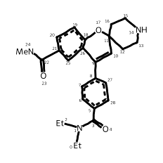 CCN(CC)C(=O)c1ccc(C2=CC3(CCNCC3)Oc3ccc(C(=O)NC)cc32)cc1